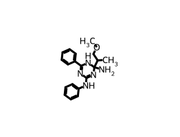 COCC(C)C1(N)N=C(Nc2ccccc2)N=C(c2ccccc2)N1